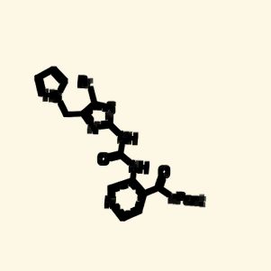 CCCCCC(=O)c1ccncc1NC(=O)Nc1nc(C[SH]2C=CC=C2)c(Br)s1